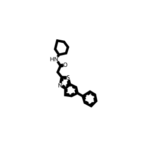 O=C(Cc1nc2ccc(-c3ccccc3)cc2s1)NC1CCCCC1